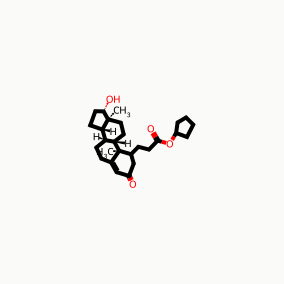 C[C@]12CC[C@H]3[C@@H](CCC4=CC(=O)CC(CCC(=O)OC5CCCC5)[C@@]43C)[C@@H]1CC[C@@H]2O